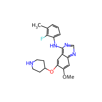 COc1cc2ncnc(Nc3cccc(C)c3F)c2cc1OC1CCNCC1